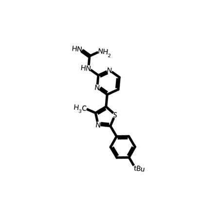 Cc1nc(-c2ccc(C(C)(C)C)cc2)sc1-c1ccnc(NC(=N)N)n1